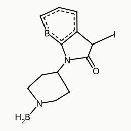 BN1CCC(N2C(=O)C(I)c3cccbc32)CC1